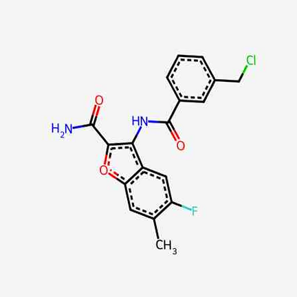 Cc1cc2oc(C(N)=O)c(NC(=O)c3cccc(CCl)c3)c2cc1F